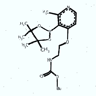 Cc1nccc(OCCNC(=O)OC(C)(C)C)c1B1OC(C)(C)C(C)(C)O1